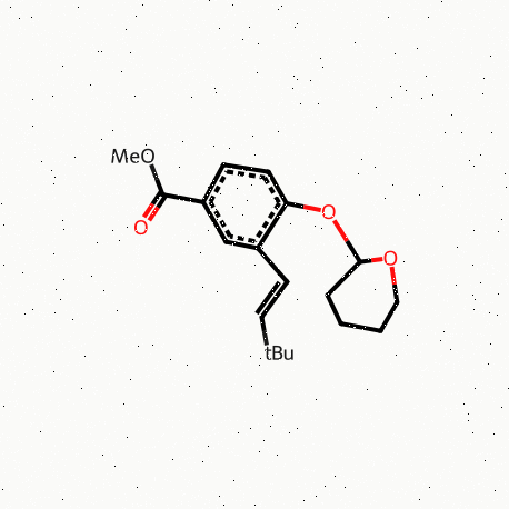 COC(=O)c1ccc(OC2CCCCO2)c(C=CC(C)(C)C)c1